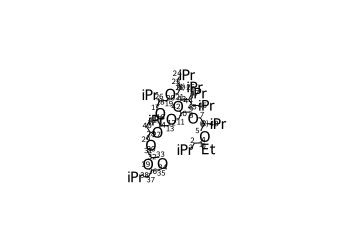 CCC(CC(C)C)OC[C@@H](COCC(COCC(COCC(COC[C@H](CC(C)C)C(C)C)C(C)C)OC(COCC1COCC(CC(C)C)O1)CC(C)C)OCC(CC(C)C)C(C)C)C(C)C